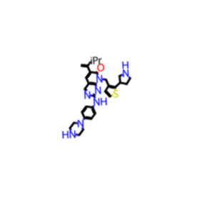 C=C(c1cc2cnc(Nc3ccc(N4CCNCC4)cc3)nc2n(Cc2ccsc2C2CCNC2)c1=O)C(C)C